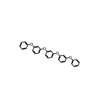 c1ccc(Oc2cccc(Oc3cccc(Oc4cccc(Oc5ccccc5)c4)c3)c2)cc1